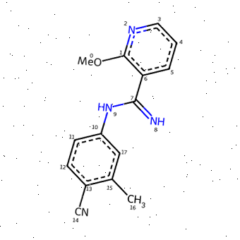 COc1ncccc1C(=N)Nc1ccc(C#N)c(C)c1